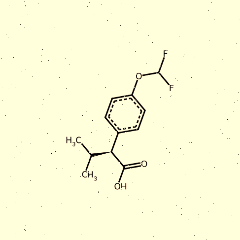 CC(C)[C@H](C(=O)O)c1ccc(OC(F)F)cc1